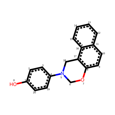 Oc1ccc(N2COc3ccc4ccccc4c3C2)cc1